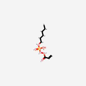 C=CC(=O)OOP(=O)(O)OCCCCCC